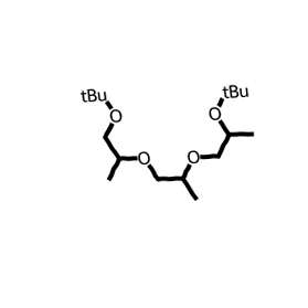 CC(COC(C)COC(C)(C)C)OCC(C)OC(C)(C)C